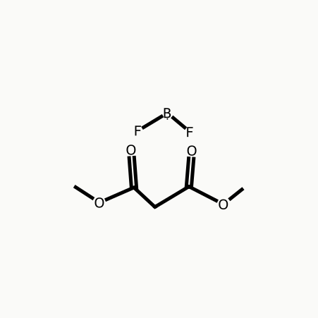 COC(=O)CC(=O)OC.F[B]F